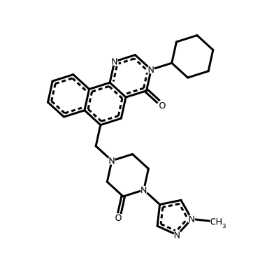 Cn1cc(N2CCN(Cc3cc4c(=O)n(C5CCCCC5)cnc4c4ccccc34)CC2=O)cn1